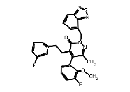 COc1c(F)cccc1-c1c(C)nn(Cc2cccc3nsnc23)c(=O)c1CCc1cccc(F)c1